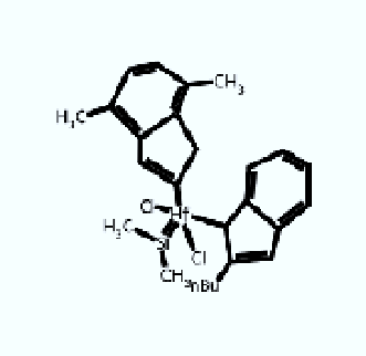 CCCCC1=Cc2ccccc2[CH]1[Hf]([Cl])([Cl])([C]1=Cc2c(C)ccc(C)c2C1)=[Si](C)C